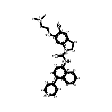 CN(C)CCOc1cc2c(cc1Br)CCN2C(=O)Nc1ccc(-c2ccncc2)c2ccccc12